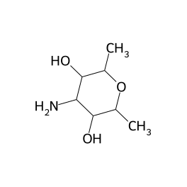 CC1OC(C)C(O)C(N)C1O